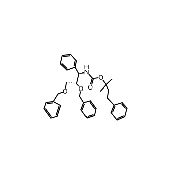 CC(C)(CCc1ccccc1)OC(=O)N[C@H](c1ccccc1)[C@@H](COCc1ccccc1)OCc1ccccc1